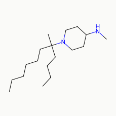 CCCCCCC(C)(CCCC)N1CCC(NC)CC1